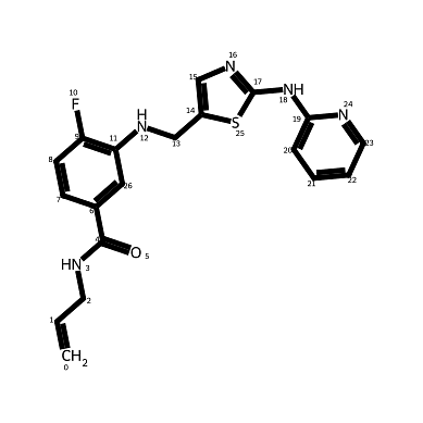 C=CCNC(=O)c1ccc(F)c(NCc2cnc(Nc3ccccn3)s2)c1